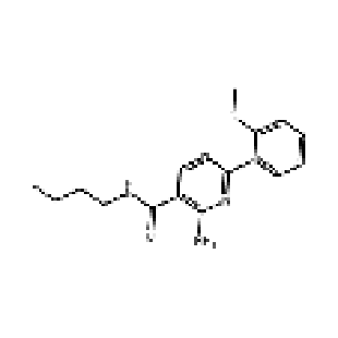 CCCCNC(=O)c1cnc(-c2ccccc2OC)nc1N